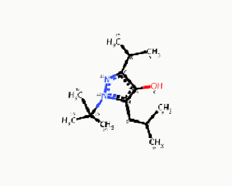 CC(C)Cc1c(O)c(C(C)C)nn1C(C)(C)C